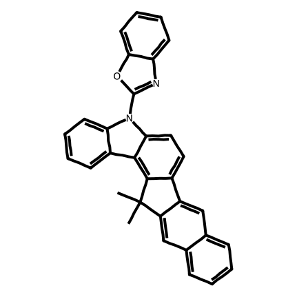 CC1(C)c2cc3ccccc3cc2-c2ccc3c(c21)c1ccccc1n3-c1nc2ccccc2o1